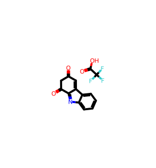 O=C(O)C(F)(F)F.O=C1C=C2C(=Nc3ccccc32)C(=O)C1